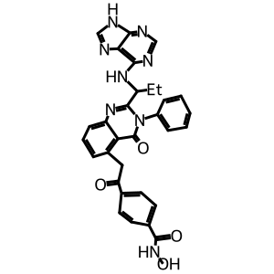 CCC(Nc1ncnc2[nH]cnc12)c1nc2cccc(CC(=O)c3ccc(C(=O)NO)cc3)c2c(=O)n1-c1ccccc1